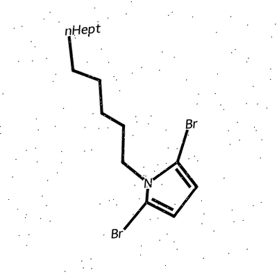 CCCCCCCCCCCCn1c(Br)ccc1Br